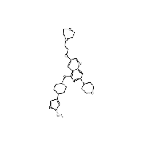 Cn1cc(C2CCC(Oc3nc(N4CCOCC4)cc4ncc(OCCN5CCOCC5)cc34)CC2)cn1